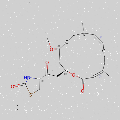 CO[C@@H]1CC[C@H](C)/C=C\CC/C(C)=C\C(=O)O[C@@H](CC(=O)[C@@H]2CSC(=O)N2)C1